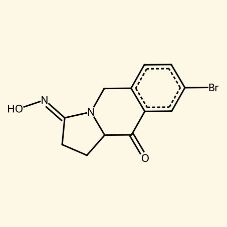 O=C1c2cc(Br)ccc2CN2C(=NO)CCC12